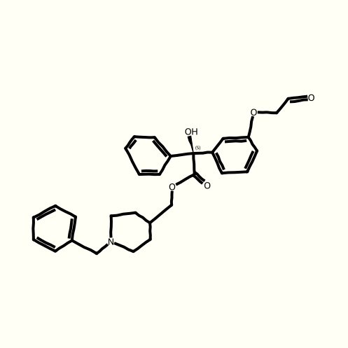 O=CCOc1cccc([C@](O)(C(=O)OCC2CCN(Cc3ccccc3)CC2)c2ccccc2)c1